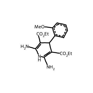 CCOC(=O)C1=C(N)NC(N)=C(C(=O)OCC)C1c1ccccc1OC